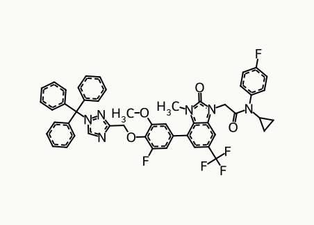 COc1cc(-c2cc(C(F)(F)F)cc3c2n(C)c(=O)n3CC(=O)N(c2ccc(F)cc2)C2CC2)cc(F)c1OCc1ncn(C(c2ccccc2)(c2ccccc2)c2ccccc2)n1